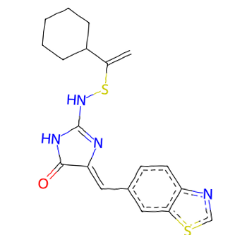 C=C(SNC1=N/C(=C\c2ccc3ncsc3c2)C(=O)N1)C1CCCCC1